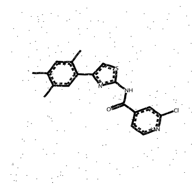 Cc1cc(C)c(-c2csc(NC(=O)c3ccnc(Cl)c3)n2)cc1C